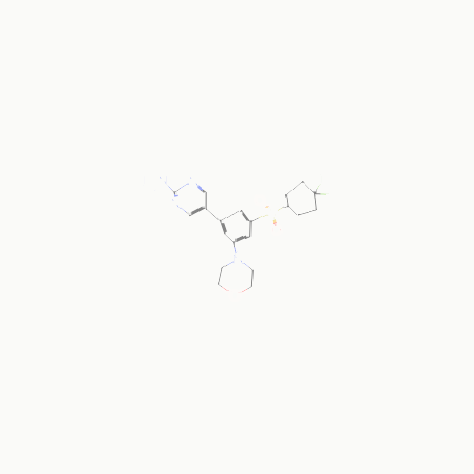 Nc1ncc(-c2cc(N3CCOCC3)cc(S(=O)(=O)C3CCC(F)(F)CC3)c2)cn1